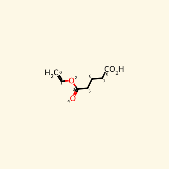 C=COC(=O)CCCC(=O)O